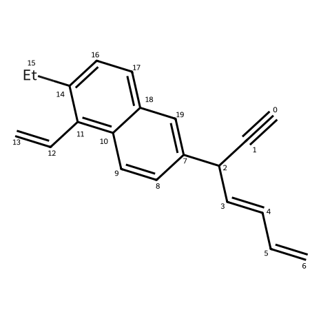 C#CC(/C=C/C=C)c1ccc2c(C=C)c(CC)ccc2c1